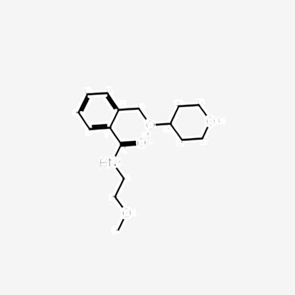 COCCNC(=O)c1ccccc1COC1CCOCC1